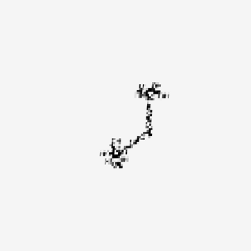 CC(=O)NC1C(O)=C(O)C(CO)O[C@H]1OCCOCCOCC(C)COCCOCCO[C@@H]1OC(CO)[C@H](O)C(O)C1NC(C)=O